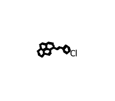 Clc1ccc(/C=C/c2ccc3ccc4cccc5ccc2c3c45)cc1